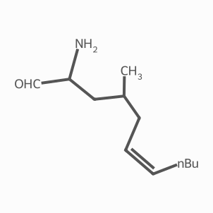 CCCC/C=C\CC(C)CC(N)C=O